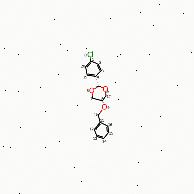 Clc1ccc([C@H]2OC[C@@H](OCc3ccccc3)CO2)cc1